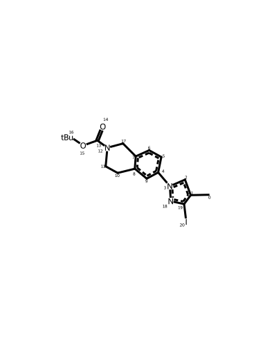 Cc1cn(-c2ccc3c(c2)CCN(C(=O)OC(C)(C)C)C3)nc1I